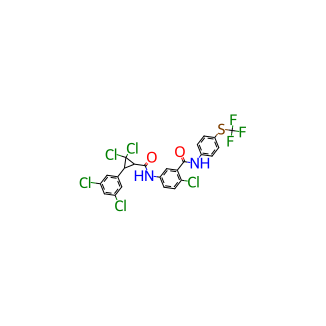 O=C(Nc1ccc(SC(F)(F)F)cc1)c1cc(NC(=O)C2C(c3cc(Cl)cc(Cl)c3)C2(Cl)Cl)ccc1Cl